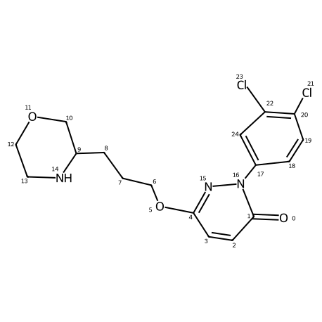 O=c1ccc(OCCCC2COCCN2)nn1-c1ccc(Cl)c(Cl)c1